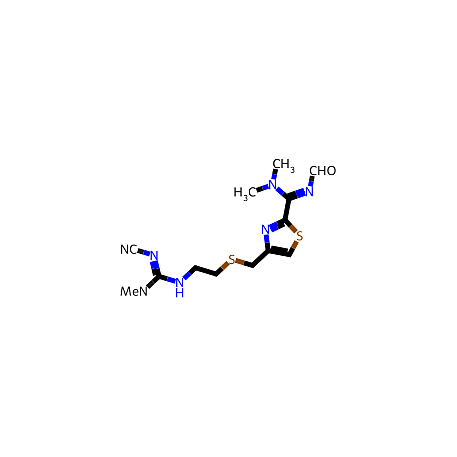 CNC(=NC#N)NCCSCc1csc(C(=NC=O)N(C)C)n1